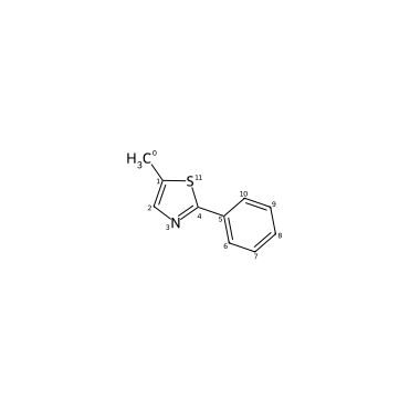 Cc1cnc(-c2ccccc2)s1